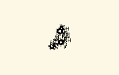 COc1cc(N2CC3(CCCN3C)C2)c([N+](=O)[O-])cc1Nc1ncnc(-c2cccc3cc[nH]c23)n1